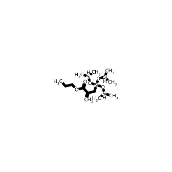 C=C(C[Si](O[SiH](C)C)(O[SiH](C)C)O[SiH](C)C)C(=O)OCCC